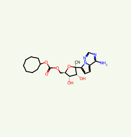 N#C[C@@]1(c2ccc3c(N)ncnn23)O[C@H](COC(=O)OC2CCCCCCC2)[C@@H](O)[C@H]1O